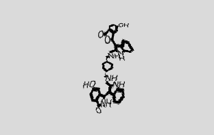 O=C1NC(c2c(CNC[C@H]3CC[C@H](CNCc4[nH]c5ccccc5c4C4OC(=O)c5ccc(O)cc54)CC3)[nH]c3ccccc23)c2cc(O)ccc21